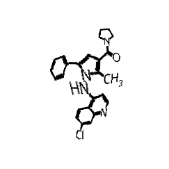 Cc1c(C(=O)N2CCCC2)cc(-c2ccccc2)n1Nc1ccnc2cc(Cl)ccc12